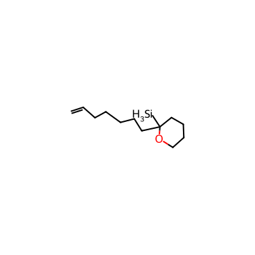 C=CCCCCCC1([SiH3])CCCCO1